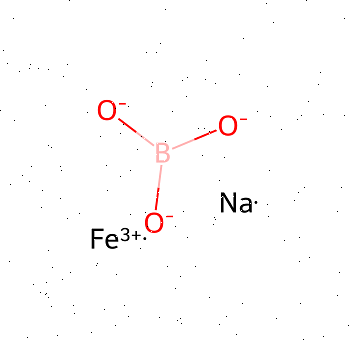 [Fe+3].[Na].[O-]B([O-])[O-]